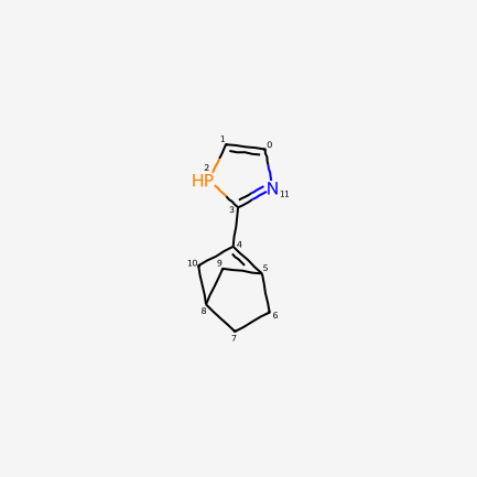 c1c[pH]c(C2=C3CCC(C3)C2)n1